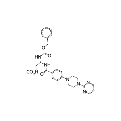 O=C(O)CC(NC(=O)OCc1ccccc1)NC(=O)c1ccc(N2CCN(c3ncccn3)CC2)cc1